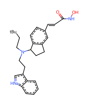 CC(C)(C)CCN(CCc1c[nH]c2ccccc12)C1CCc2cc(C=CC(=O)NO)ccc21